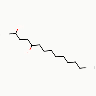 CCCCCCCCC(O)CCC(O)CCCCCCCCC(=O)O